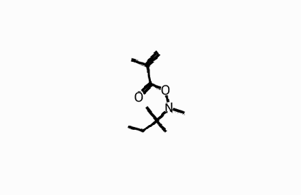 C=C(C)C(=O)ON(C)C(C)(C)CC